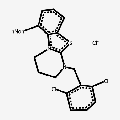 CCCCCCCCCc1cccc2sc3[n+](c12)CCCN3Cc1c(Cl)cccc1Cl.[Cl-]